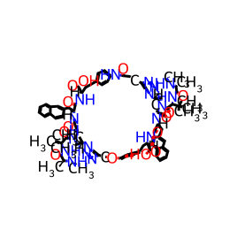 CN[C@@H](C)C(=O)N[C@H](C(=O)N1C[C@@H]2C[C@H]1C(=O)N[C@@H](Cc1ccc3ccccc3c1)C(=O)N[C@H](C(=O)O)Cc1ccc(cc1)NC(=O)CCc1cn(nn1)[C@@H]1CN(C(=O)[C@@H](NC(=O)[C@H](C)NC)C(C)(C)C)[C@@]3(C1)C(=O)N3[C@@H](Cc1ccc3ccccc3c1)C(=O)N[C@H](C(=O)O)Cc1ccc(cc1)OCc1cn2nn1)C(C)(C)C